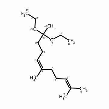 CC(C)=CCC/C(C)=C\CCC(C)(OCC(F)(F)F)OCC(F)(F)F